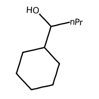 CCCC(O)C1CCCCC1